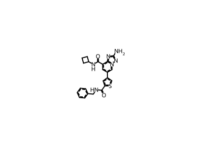 Nc1nc2c(C(=O)NC3CCC3)cc(-c3csc(C(=O)NCc4ccccc4)c3)cn2n1